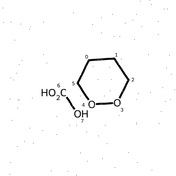 C1CCOOC1.O=C(O)O